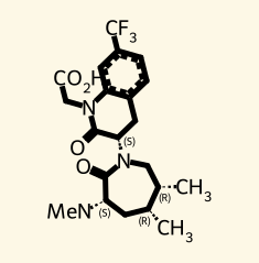 CN[C@H]1C[C@@H](C)[C@@H](C)CN([C@H]2Cc3ccc(C(F)(F)F)cc3N(CC(=O)O)C2=O)C1=O